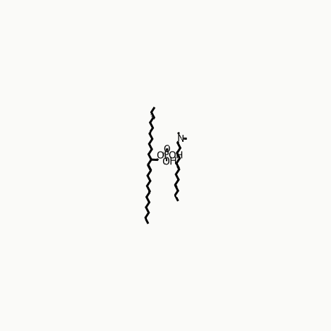 CCCCCCCCCCCCC(CCCCCCCCCC)COP(=O)(O)O.CCCCCCCCCCCCN(C)C